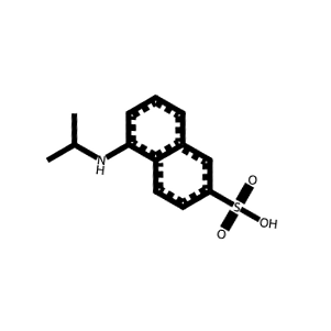 CC(C)Nc1cccc2cc(S(=O)(=O)O)ccc12